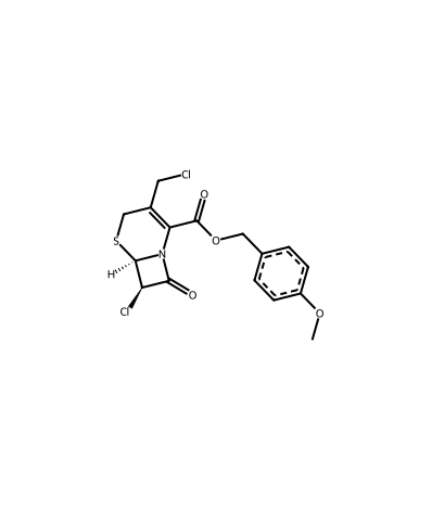 COc1ccc(COC(=O)C2=C(CCl)CS[C@@H]3[C@H](Cl)C(=O)N23)cc1